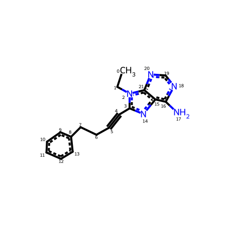 CCn1c(C#CCCc2ccccc2)nc2c(N)ncnc21